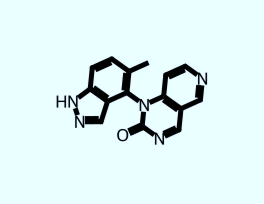 Cc1ccc2[nH]ncc2c1-n1c(=O)ncc2cnccc21